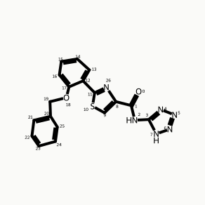 O=C(Nc1nnn[nH]1)c1csc(-c2ccccc2OCc2ccccc2)n1